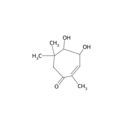 CC1=CC(O)C(O)C(C)(C)CC1=O